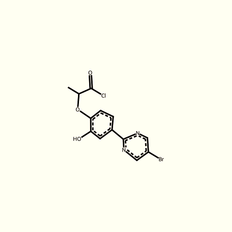 CC(Oc1ccc(-c2ncc(Br)cn2)cc1O)C(=O)Cl